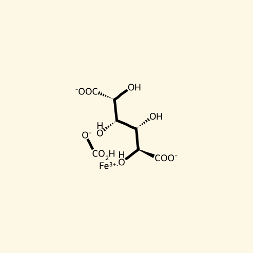 O=C([O-])O.O=C([O-])[C@@H](O)[C@@H](O)[C@H](O)[C@@H](O)C(=O)[O-].[Fe+3]